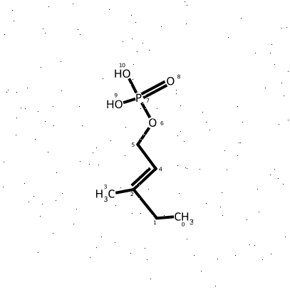 CCC(C)=CCOP(=O)(O)O